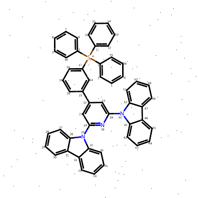 c1ccc(S(c2ccccc2)(c2ccccc2)c2cccc(-c3cc(-n4c5ccccc5c5ccccc54)nc(-n4c5ccccc5c5ccccc54)c3)c2)cc1